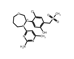 Cc1cc(N2CCCOC[C@H]2c2cc(O)c(CS(C)(=O)=O)cc2Cl)nc(N)n1